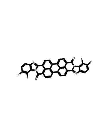 O=c1c2ccc3c4ccc5c6c(ccc(c7ccc(c2c37)c2nc3ccc(F)c(F)c3n12)c46)c(=O)n1c5nc2ccc(F)c(F)c21